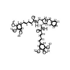 COc1cc(/C=C/C=C/C(=O)NC[C@H]2CN(Cc3ccccc3)C[C@@H]2CNC(=O)/C=C/C=C/c2cc(OC)c(OC)c(OC)c2)cc(OC)c1OC